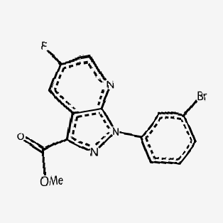 COC(=O)c1nn(-c2cccc(Br)c2)c2ncc(F)cc12